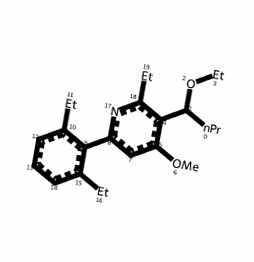 CCCC(OCC)c1c(OC)cc(-c2c(CC)cccc2CC)nc1CC